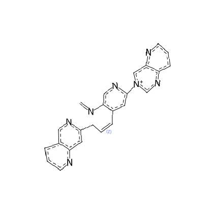 C=Nc1cnc(-[n+]2cnc3cccnc3c2)cc1/C=C\Cc1cc2ncccc2cn1